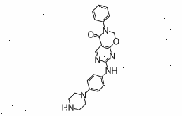 O=C1c2cnc(Nc3ccc(N4CCNCC4)cc3)nc2OCN1c1ccccc1